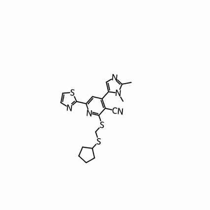 Cc1ncc(-c2cc(-c3nccs3)nc(SCSC3CCCC3)c2C#N)n1C